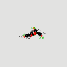 CP(Cl)Oc1ccc(C(C)(CC(=O)OCCOC(=O)CC(C)(c2ccc(OP(Cl)Cl)c(C(C)(C)C)c2)c2ccc(OP(Cl)Cl)c(C(C)(C)C)c2)c2ccc(OP(Cl)Cl)c(C(C)(C)C)c2)cc1C(C)(C)C